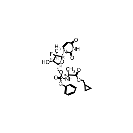 C[C@H](NP(=O)(OC[C@H]1O[C@@H](n2ccc(=O)[nH]c2=O)[C@](C)(F)[C@@H]1O)Oc1ccccc1)C(=O)OCC1CC1